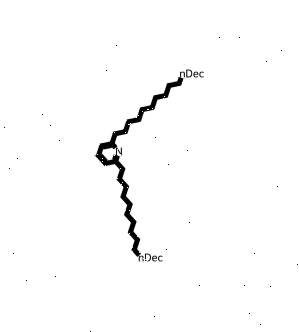 CCCCCCCCCCCCCCCCCCCCc1c[c]cc(CCCCCCCCCCCCCCCCCCCC)n1